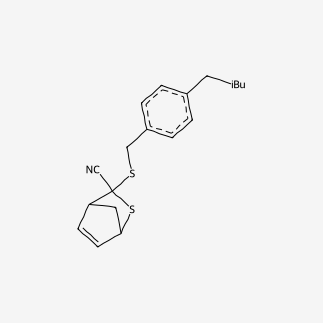 CCC(C)Cc1ccc(CSC2(C#N)SC3C=CC2C3)cc1